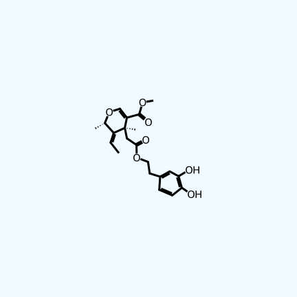 C/C=C1/[C@H](C)OC=C(C(=O)OC)[C@@]1(C)CC(=O)OCCc1ccc(O)c(O)c1